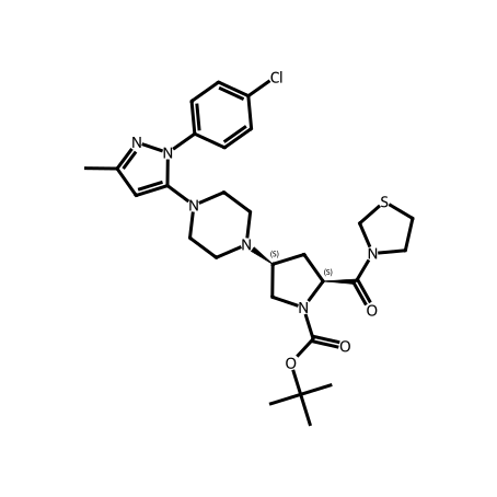 Cc1cc(N2CCN([C@H]3C[C@@H](C(=O)N4CCSC4)N(C(=O)OC(C)(C)C)C3)CC2)n(-c2ccc(Cl)cc2)n1